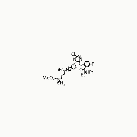 CCN(C(=O)c1cc(F)ccc1Oc1nnc(Cl)nc1N1CCC2(C1)CN(C(CCCN(C)CCOC)C(C)C)C2)C(C)C